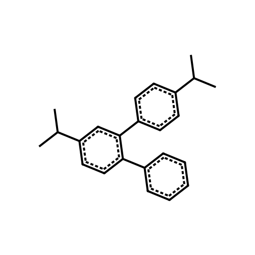 CC(C)c1ccc(-c2cc(C(C)C)ccc2-c2ccccc2)cc1